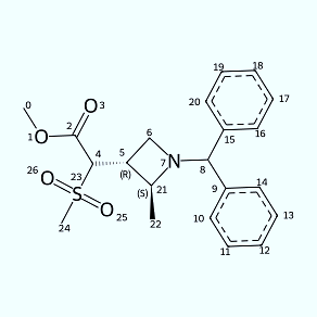 COC(=O)C([C@@H]1CN(C(c2ccccc2)c2ccccc2)[C@H]1C)S(C)(=O)=O